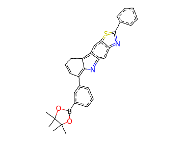 CC1(C)OB(c2cccc(C3=C4N=c5cc6nc(-c7ccccc7)sc6cc5=C4CC=C3)c2)OC1(C)C